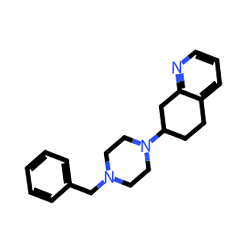 c1ccc(CN2CCN(C3CCc4cccnc4C3)CC2)cc1